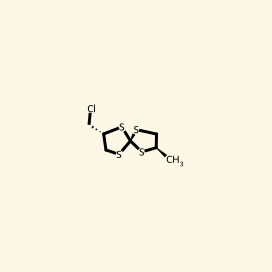 C[C@@H]1CS[C@]2(SC[C@H](CCl)S2)S1